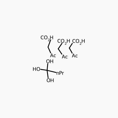 CC(=O)CC(=O)O.CC(=O)CC(=O)O.CC(=O)CC(=O)O.CCCC(O)(O)O